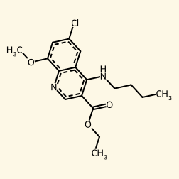 CCCCNc1c(C(=O)OCC)cnc2c(OC)cc(Cl)cc12